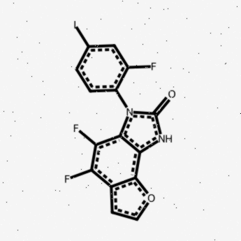 O=c1[nH]c2c3occc3c(F)c(F)c2n1-c1ccc(I)cc1F